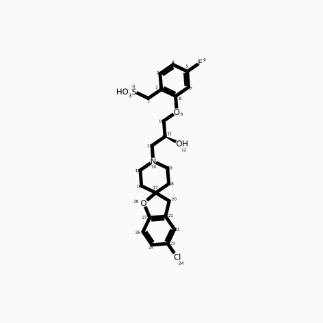 O=S(=O)(O)Cc1ccc(F)cc1OC[C@@H](O)CN1CCC2(CC1)Cc1cc(Cl)ccc1O2